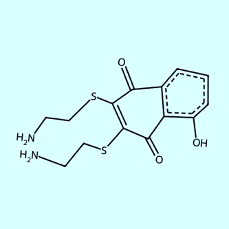 NCCSC1=C(SCCN)C(=O)c2c(O)cccc2C1=O